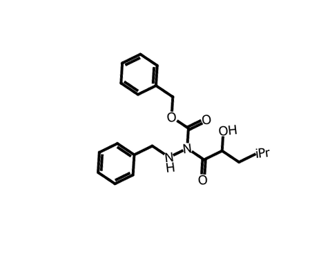 CC(C)CC(O)C(=O)N(NCc1ccccc1)C(=O)OCc1ccccc1